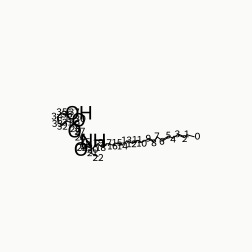 CCC=CCC=CCC=CCC=CCC=CCC=CCC(CC)C(=O)NCCOC(=O)c1ccccc1O